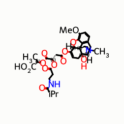 COc1ccc2c3c1O[C@H]1C(OC(=O)C[C@H](OC(=O)CCNC(=O)C(C)C)C(=O)O[C@@H](C)C(=O)O)=CC[C@@]4(O)[C@@H](C2)N(C)CC[C@]314